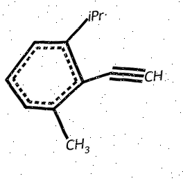 C#Cc1c(C)cccc1[C](C)C